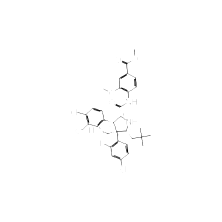 COC(=O)c1ccc(NC(=O)[C@@H]2N[C@@H](CC(C)(C)C)[C@](CN)(c3ccc(Cl)cc3F)[C@H]2c2ccc(Cl)c(Cl)c2)c(OC)c1